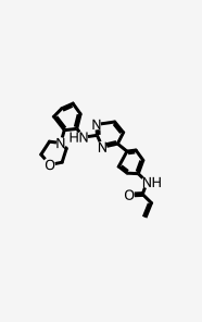 C=CC(=O)Nc1ccc(-c2ccnc(Nc3ccccc3N3CCOCC3)n2)cc1